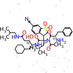 CC(=O)N(C(=O)[C@@H](N)Cc1ccccc1)[C@](CC(C)C)(C(=O)N[C@@H](CC1CCCCC1)[C@@H](O)CC(=O)NCC(C)C)C1CS(=O)(=O)c2cc(C#N)ccc21